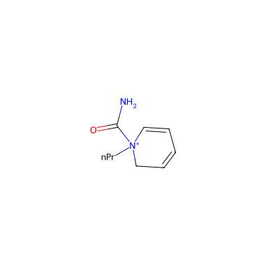 CCC[N+]1(C(N)=O)C=CC=CC1